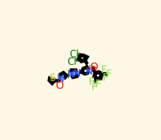 O=C(c1cccs1)N1CC[C@H](N2CCN([C@H]3CCN(C(=O)c4cc(C(F)(F)F)cc(C(F)(F)F)c4)[C@H](Cc4ccc(Cl)c(Cl)c4)C3)CC2)C1